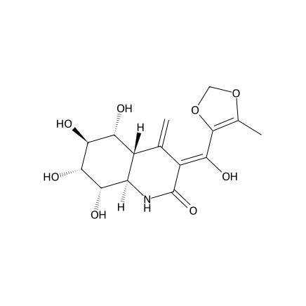 C=C1/C(=C(/O)C2=C(C)OCO2)C(=O)N[C@H]2[C@H](O)[C@H](O)[C@@H](O)[C@H](O)[C@H]12